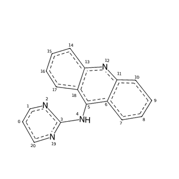 c1cnc(Nc2c3ccccc3nc3ccccc23)nc1